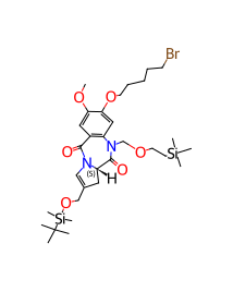 COc1cc2c(cc1OCCCCCBr)N(COCC[Si](C)(C)C)C(=O)[C@@H]1CC(CO[Si](C)(C)C(C)(C)C)=CN1C2=O